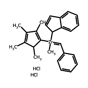 CC1=C(C)C(C)[C]([Zr]([CH3])(=[CH]c2ccccc2)[CH]2C=Cc3ccccc32)=C1C.Cl.Cl